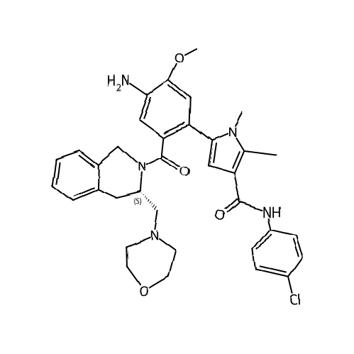 COc1cc(-c2cc(C(=O)Nc3ccc(Cl)cc3)c(C)n2C)c(C(=O)N2Cc3ccccc3C[C@H]2CN2CCOCC2)cc1N